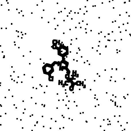 COc1cccc(-c2cc(COC(C)(C)C(C)=O)nn2Cc2cccc(Cl)c2)c1